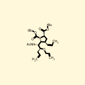 C=CCO[C@@H](CC=C)[C@H](NC(C)=O)[C@H]1[C@H](/C=C\C)C[C@H](C(=O)OC(C)(C)C)N1C(=O)OC(C)(C)C